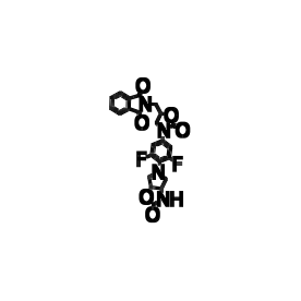 O=C1NC2CN(c3c(F)cc(N4CC(CN5C(=O)c6ccccc6C5=O)OC4=O)cc3F)CC2O1